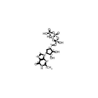 Cc1nc2c(ncn2[C@@H]2C[C@H](COP(=O)(O)OP(=O)(O)OP(=O)(O)O)C(O)[C@@H]2O)c(=O)[nH]1